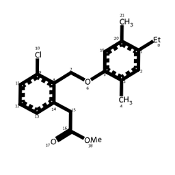 CCc1cc(C)c(OCc2c(Cl)cccc2CC(=O)OC)cc1C